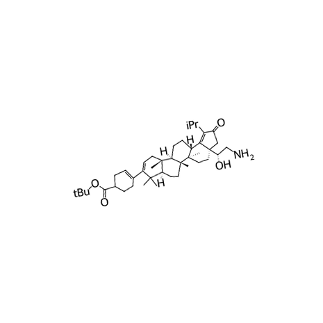 CC(C)C1=C2[C@H]3CC[C@@H]4[C@@]5(C)CC=C(C6=CCC(C(=O)OC(C)(C)C)CC6)C(C)(C)[C@@H]5CC[C@@]4(C)[C@]3(C)CC[C@@]2([C@@H](O)CN)CC1=O